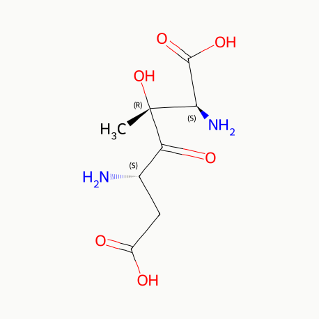 C[C@](O)(C(=O)[C@@H](N)CC(=O)O)[C@H](N)C(=O)O